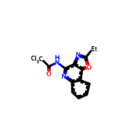 CCc1nc2c(NC(=O)C(Cl)(Cl)Cl)nc3ccccc3c2o1